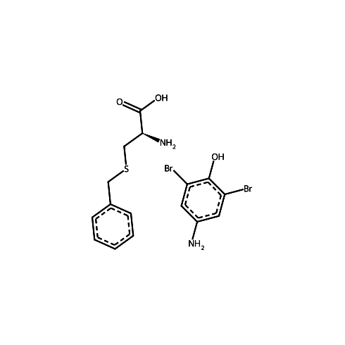 N[C@@H](CSCc1ccccc1)C(=O)O.Nc1cc(Br)c(O)c(Br)c1